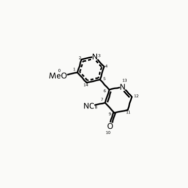 COc1cncc(C2=C(C#N)C(=O)CC=N2)c1